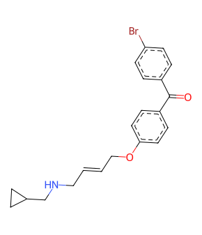 O=C(c1ccc(Br)cc1)c1ccc(OCC=CCNCC2CC2)cc1